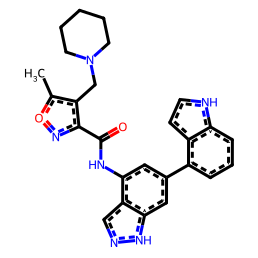 Cc1onc(C(=O)Nc2cc(-c3cccc4[nH]ccc34)cc3[nH]ncc23)c1CN1CCCCC1